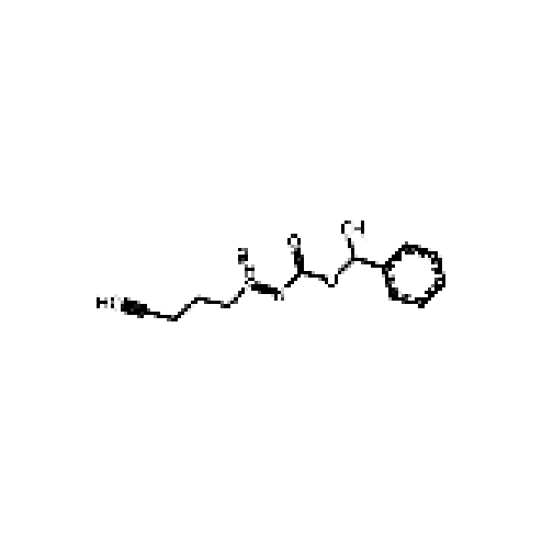 C#CCCC/[SH](=O)=N/C(=O)O[C@@H](C)c1ccccc1